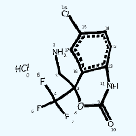 Cl.NCC1(C(F)(F)F)OC(=O)Nc2ccc(Cl)cc21